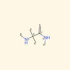 C=C(NC)C(C)(C)NC